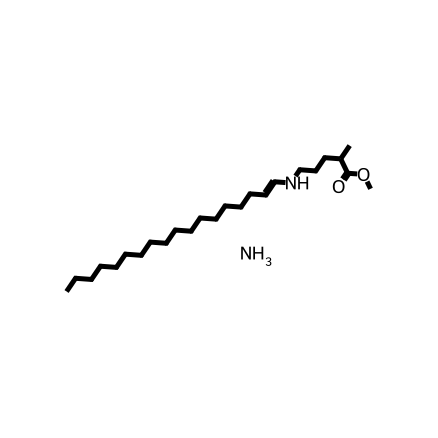 CCCCCCCCCCCCCCCCC=CNCCCC(C)C(=O)OC.N